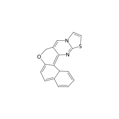 C1=CC2=CC=C3OCC4=CN5C=CSC5=NC4=C3C2C=C1